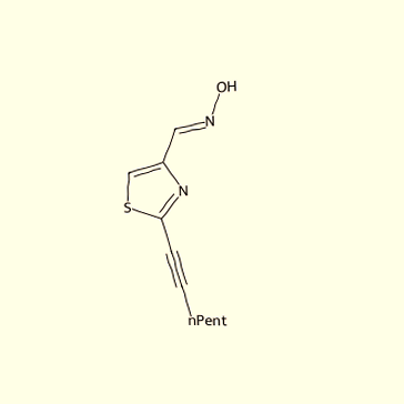 CCCCCC#Cc1nc(/C=N/O)cs1